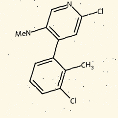 CNc1cnc(Cl)cc1-c1cccc(Cl)c1C